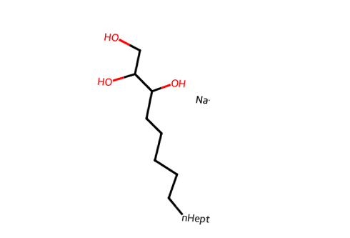 CCCCCCCCCCCCC(O)C(O)CO.[Na]